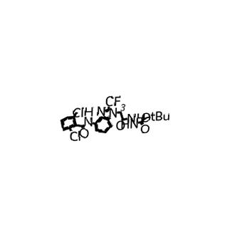 CC(C)(C)OC(=O)NNC(=O)Cn1c(C(F)(F)F)nc2c(NC(=O)c3c(Cl)cccc3Cl)cccc21